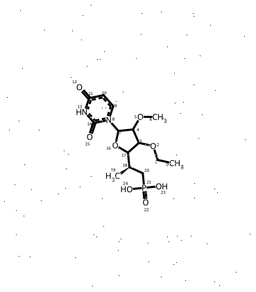 CCOC1C(OC)C(n2ccc(=O)[nH]c2=O)OC1[C@H](C)CP(=O)(O)O